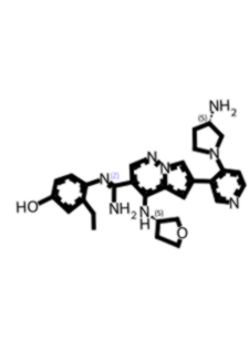 CCc1cc(O)ccc1/N=C(\N)c1cnn2cc(-c3cnccc3N3CC[C@H](N)C3)cc2c1N[C@H]1CCOC1